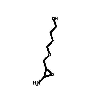 NC1OC1COCCCCO